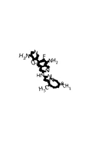 CO[C@H]1CC[C@@H](C)c2cc(Nc3cc4cc(-c5cncc(N)c5C)c(F)c(N)c4cn3)nn2C1